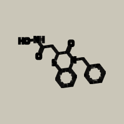 O=C(CC1Sc2ccccc2N(Cc2ccccc2)C1=O)NO